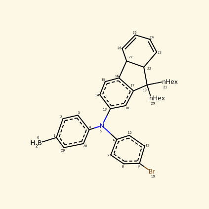 Bc1ccc(N(c2ccc(Br)cc2)c2ccc3c(c2)C(CCCCCC)(CCCCCC)C2C=CC=CC32)cc1